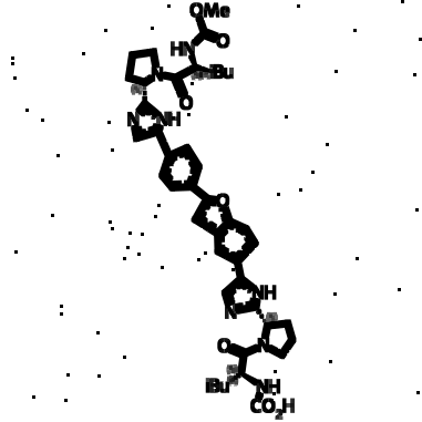 CC[C@@H](C)[C@H](NC(=O)O)C(=O)N1CCC[C@H]1c1ncc(-c2ccc3oc(-c4ccc(-c5cnc([C@@H]6CCCN6C(=O)[C@@H](NC(=O)OC)[C@H](C)CC)[nH]5)cc4)cc3c2)[nH]1